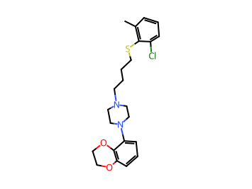 Cc1cccc(Cl)c1SCCCCN1CCN(c2cccc3c2OCCO3)CC1